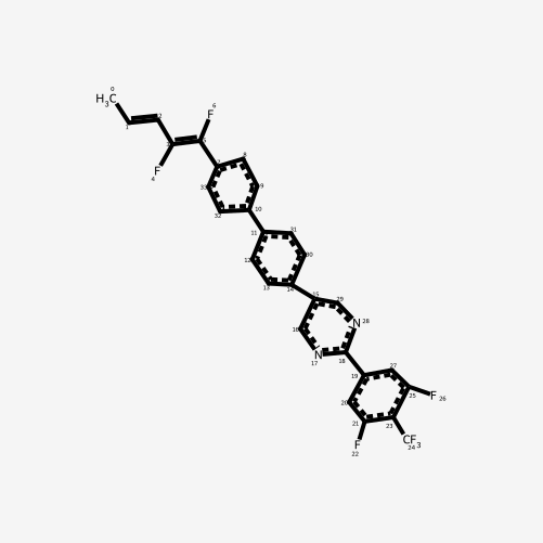 C/C=C/C(F)=C(\F)c1ccc(-c2ccc(-c3cnc(-c4cc(F)c(C(F)(F)F)c(F)c4)nc3)cc2)cc1